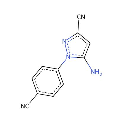 N#Cc1ccc(-n2nc(C#N)cc2N)cc1